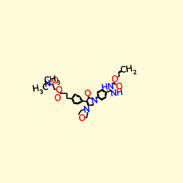 C=CCOC(=O)NC(=N)c1ccc(N2CC(N3CCOCC3)=C(c3ccc(CCC(=O)OCC(=O)N(C)C)cc3)C2=O)cc1